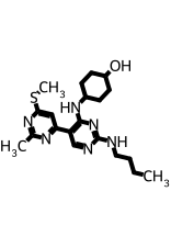 CCCCNc1ncc(-c2cc(SC)nc(C)n2)c(NC2CCC(O)CC2)n1